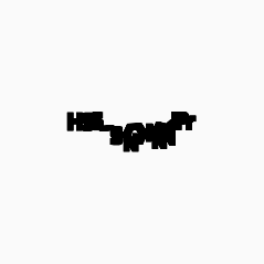 CC(C)c1cn(-c2ccc(SCCSS)nc2)nn1